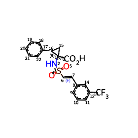 O=C(O)[C@]1(NS(=O)(=O)/C=C/c2cccc(C(F)(F)F)c2)C[C@@H]1c1ccccc1